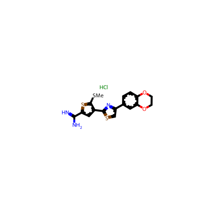 CSc1sc(C(=N)N)cc1-c1nc(-c2ccc3c(c2)OCCO3)cs1.Cl